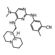 Cc1ccc(Nc2ncc(N(C)C)c(NC[C@@H]3CCCN4CCCC[C@H]34)n2)cc1C#N